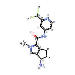 Cn1cc2c(c1C(=O)Nc1ccnc(C(F)F)c1)CCC2N